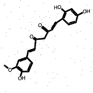 COc1cc(C=CC(=O)CC(=O)C=Cc2ccc(O)cc2O)ccc1O